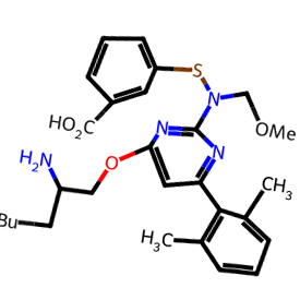 COCN(Sc1cccc(C(=O)O)c1)c1nc(OCC(N)CC(C)(C)C)cc(-c2c(C)cccc2C)n1